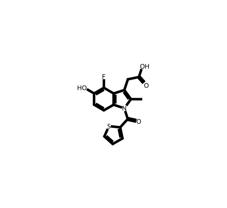 Cc1c(CC(=O)O)c2c(F)c(O)ccc2n1C(=O)c1cccs1